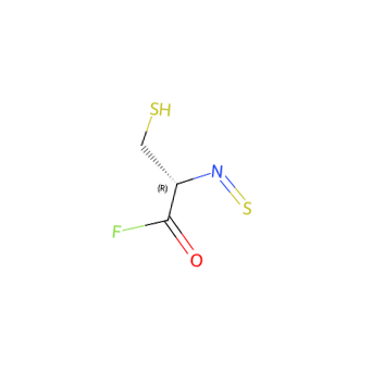 O=C(F)[C@H](CS)N=S